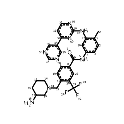 Cc1ccc(NC(=O)c2ccc(CN3CCCC(N)C3)c(C(F)(F)F)c2)cc1Nc1nccc(-c2cncnc2)n1